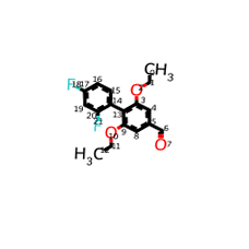 CCOc1cc(C=O)cc(OCC)c1-c1ccc(F)cc1F